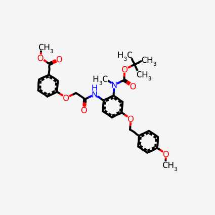 COC(=O)c1cccc(OCC(=O)Nc2ccc(OCc3ccc(OC)cc3)cc2N(C)C(=O)OC(C)(C)C)c1